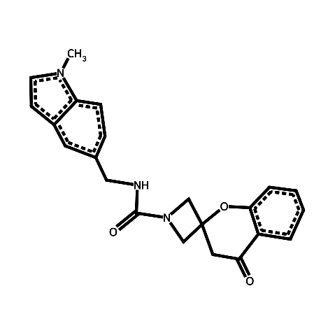 Cn1ccc2cc(CNC(=O)N3CC4(CC(=O)c5ccccc5O4)C3)ccc21